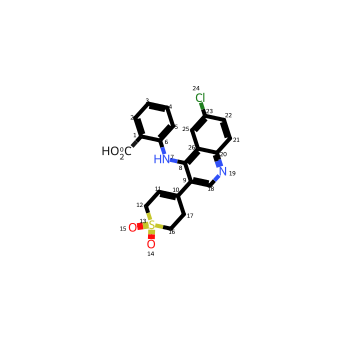 O=C(O)c1ccccc1Nc1c(C2=CCS(=O)(=O)CC2)cnc2ccc(Cl)cc12